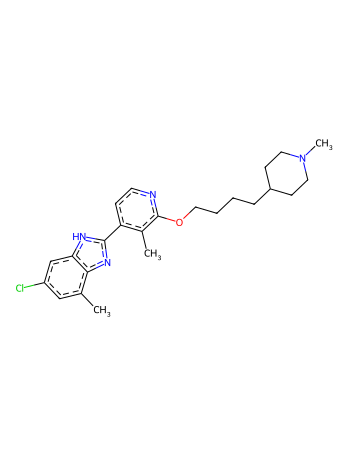 Cc1c(-c2nc3c(C)cc(Cl)cc3[nH]2)ccnc1OCCCCC1CCN(C)CC1